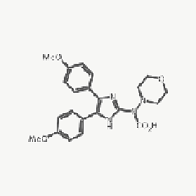 COc1ccc(-c2nc(N(C(=O)O)N3CCOCC3)[nH]c2-c2ccc(OC)cc2)cc1